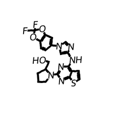 OCC1CCCN1c1nc(Nc2cn(-c3ccc4c(c3)OC(F)(F)O4)cn2)c2ccsc2n1